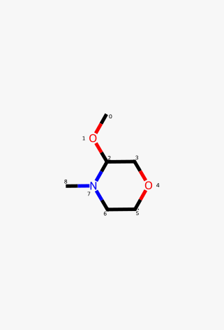 COC1CO[CH]CN1C